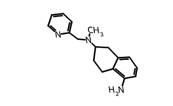 CN(Cc1ccccn1)C1CCc2c(N)cccc2C1